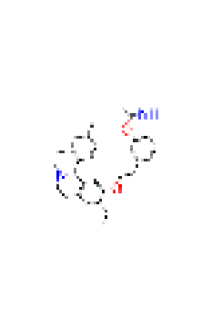 CCc1cc2c(cc1OCCc1cccc(OC(C)=N)c1)C(c1ccc(C)cc1C)N(C)CC2